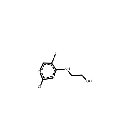 OCCNc1nc(Cl)ncc1I